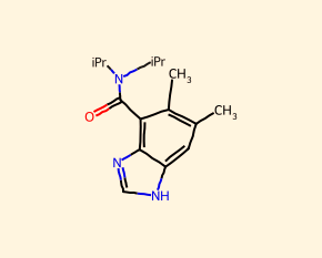 Cc1cc2[nH]cnc2c(C(=O)N(C(C)C)C(C)C)c1C